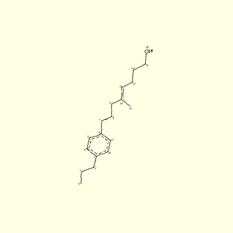 CCCc1ccc(CCC/C(C)=C/CCCO)cc1